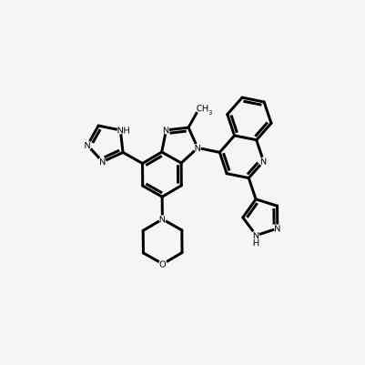 Cc1nc2c(-c3nnc[nH]3)cc(N3CCOCC3)cc2n1-c1cc(-c2cn[nH]c2)nc2ccccc12